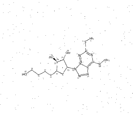 CCCCNc1nc(SCCC)nc2c1nnn2C1CC(OCCCO)[C@@H](O)C1O